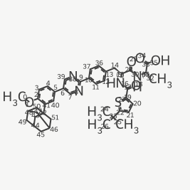 COc1ccc(-c2cnc(-c3ccc(C[C@H](NC(=O)c4ccc(C(C)(C)C)s4)C(=O)N[C@H](C)C(=O)O)cc3)nc2)cc1C12CC3CC(CC(C3)C1)C2